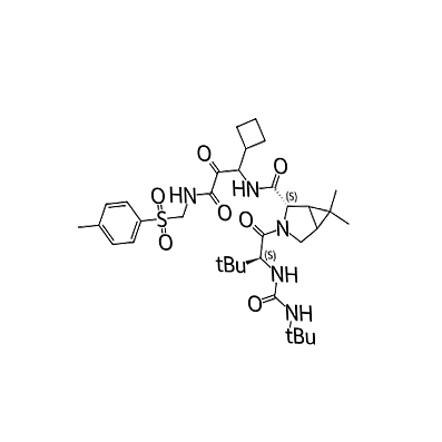 Cc1ccc(S(=O)(=O)CNC(=O)C(=O)C(NC(=O)[C@@H]2C3C(CN2C(=O)[C@@H](NC(=O)NC(C)(C)C)C(C)(C)C)C3(C)C)C2CCC2)cc1